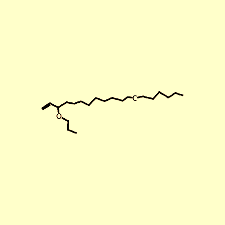 C=CC(CCCCCCCCCCCCCCCC)OCCC